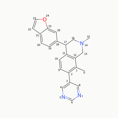 Cc1c(-c2cncnc2)ccc2c1CN(C)CC2c1ccc2ccoc2c1